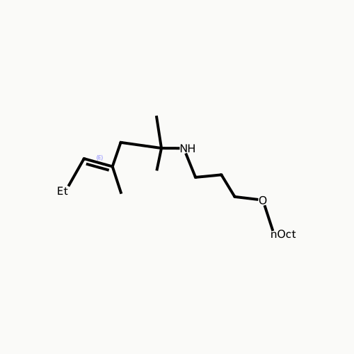 CC/C=C(\C)CC(C)(C)NCCCOCCCCCCCC